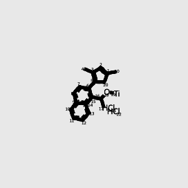 CC1=CC(C)=C(c2ccc3ccccc3c2C(C)[O][Ti])C1.Cl.Cl